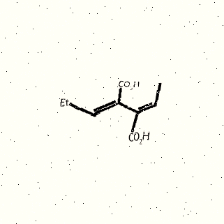 CC=C(C(=O)O)C(=CCC)C(=O)O